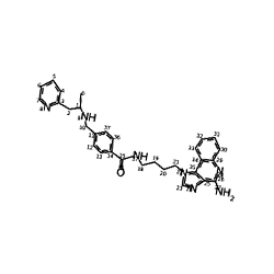 CC(Cc1ccccn1)NCc1ccc(C(=O)NCCCCn2cnc3c(N)nc4ccccc4c32)cc1